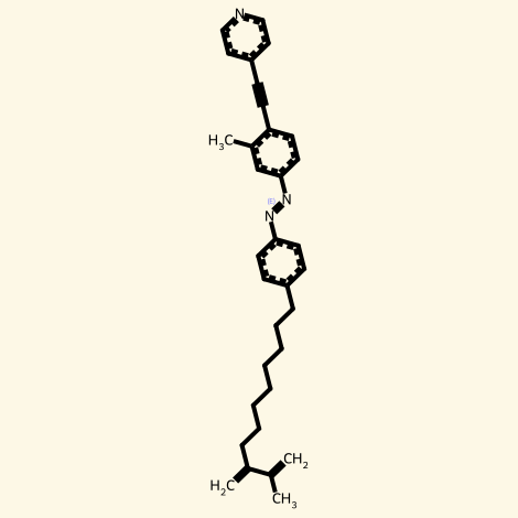 C=C(C)C(=C)CCCCCCCCc1ccc(/N=N/c2ccc(C#Cc3ccncc3)c(C)c2)cc1